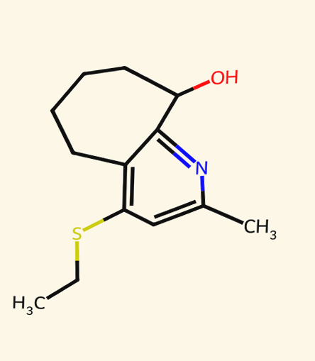 CCSc1cc(C)nc2c1CCCCC2O